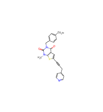 Cn1c(=O)n(Cc2ccc(C(=O)O)cc2)c(=O)c2cc(C#CCc3ccncc3)sc21